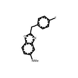 CNc1ccc2oc(Cc3ccc(F)cc3)nc2c1